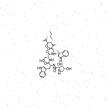 CCCC[C@@H](C(=O)N(C)C)N(C)C(=O)[C@H](Cc1c[nH]c2ccccc12)NC(=O)[C@H](CO)NC(=O)[C@H](Cc1c[nH]c2ccccc12)NC(=O)[C@@]1(O)C[C@@H](O)CN1